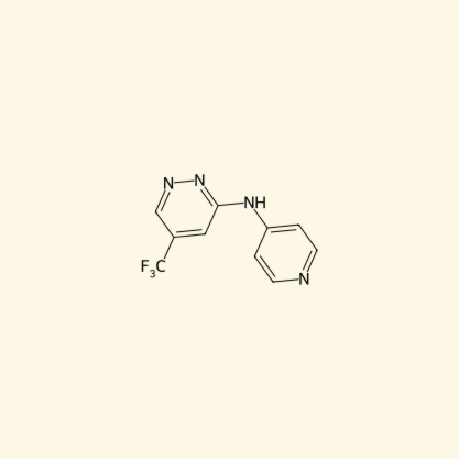 FC(F)(F)c1cnnc(Nc2ccncc2)c1